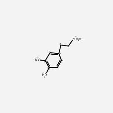 CCCCCCCCCc1ccc(O)c(CCC)c1